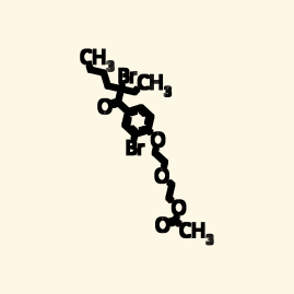 CCCCC(Br)(CC)C(=O)c1ccc(OCCOCCOC(C)=O)c(Br)c1